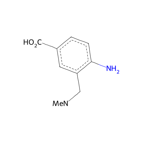 CNCc1cc(C(=O)O)ccc1N